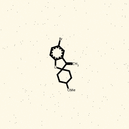 C=C1c2cc(Br)ccc2OC12CCC(OC)CC2